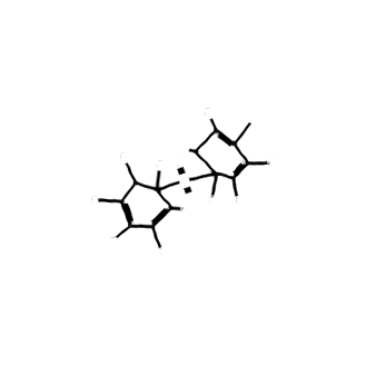 O=S(=O)(C1(F)C(F)=C(F)C(F)=C(F)C1F)C1(F)C(F)=C(F)C(F)=C(F)C1F